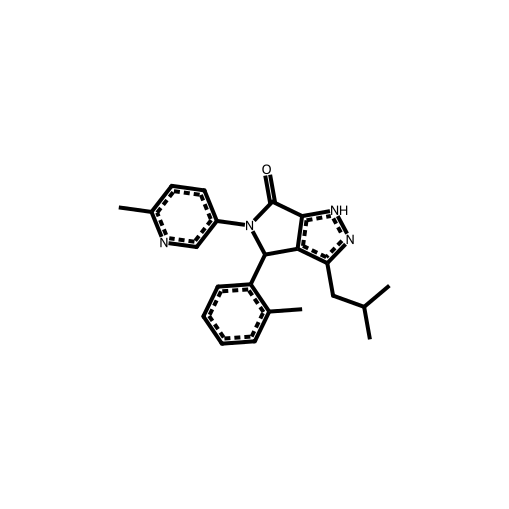 Cc1ccc(N2C(=O)c3[nH]nc(CC(C)C)c3C2c2ccccc2C)cn1